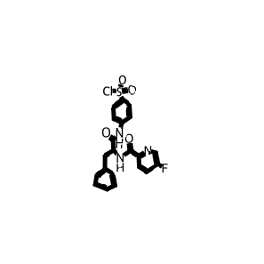 O=C(NC(Cc1ccccc1)C(=O)Nc1ccc(S(=O)(=O)Cl)cc1)c1ccc(F)cn1